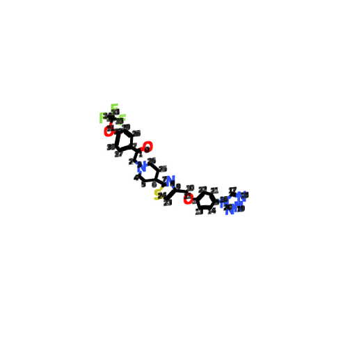 O=C(CN1CCC(c2nc(COc3ccc(-n4cnnn4)cc3)cs2)CC1)c1ccc(OC(F)(F)F)cc1